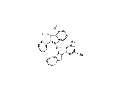 CC1C(c2ccccc2)=[C]([Zr+2][CH]2C(c3cc(C(C)(C)C)cc(C(C)(C)C)c3)=Cc3ccccc32)c2ccccc21.[Cl-].[Cl-]